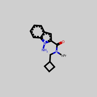 CCCN(CC1CCC1)C(=O)c1cc2ccccc2n1N